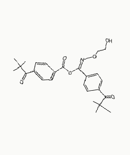 CC(C)(C)C(=O)c1ccc(C(=O)OC(=NOCCO)c2ccc(C(=O)C(C)(C)C)cc2)cc1